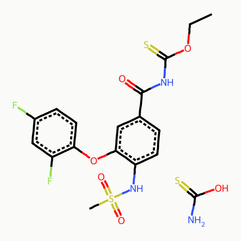 CCOC(=S)NC(=O)c1ccc(NS(C)(=O)=O)c(Oc2ccc(F)cc2F)c1.NC(O)=S